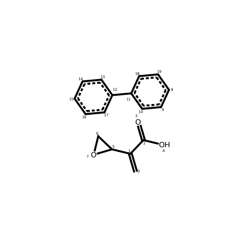 C=C(C(=O)O)C1CO1.c1ccc(-c2ccccc2)cc1